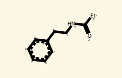 C[CH]C(=O)NCCc1ccccc1